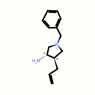 C=CC[C@@H]1CN(Cc2ccccc2)C[C@H]1N